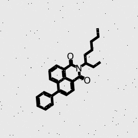 CCCCCC(CC)N1C(=O)c2cccc3c(-c4ccccc4)ccc(c23)C1=O